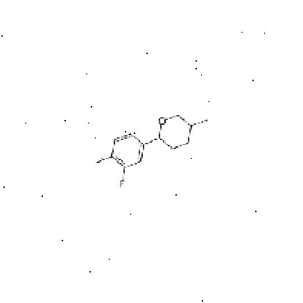 Cc1ccc(C2CCC(C)CO2)cc1F